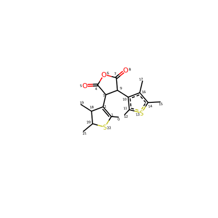 CC1=C(C2C(=O)OC(=O)C2c2c(C)sc(C)c2C)C(C)C(C)S1